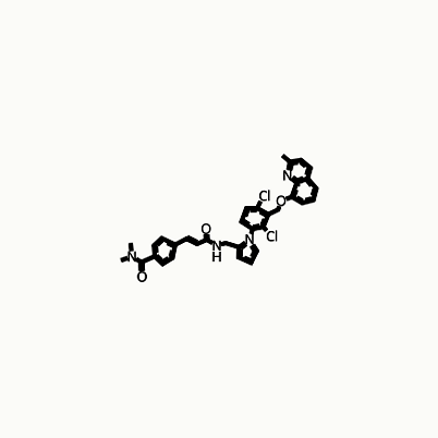 Cc1ccc2cccc(OCc3c(Cl)ccc(-n4cccc4CNC(=O)C=Cc4ccc(C(=O)N(C)C)cc4)c3Cl)c2n1